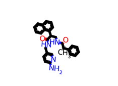 C[C@@H](C(=O)NCC(C(=O)NCc1ccc(N)nc1)c1cccc2ccccc12)c1ccccc1